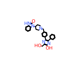 O=c1[nH]c2ccccc2n1C1CCN(Cc2ccc(-c3nc(CO)c(O)nc3-c3ccccc3)cc2)CC1